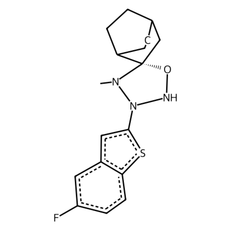 CN1N(c2cc3cc(F)ccc3s2)NO[C@]12CC1CCC2CC1